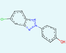 Oc1ccc(-n2nc3ccc(Cl)cc3n2)cc1